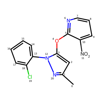 Cc1cc(Oc2ncccc2[N+](=O)[O-])n(-c2ccccc2Cl)n1